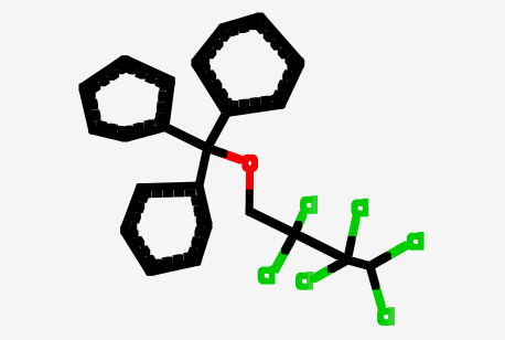 ClC(Cl)C(Cl)(Cl)C(Cl)(Cl)COC(c1ccccc1)(c1ccccc1)c1ccccc1